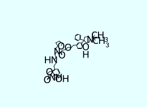 CC(C)N1CCC(c2ccccc2)(c2cc(CCOCCC(=O)N(CCNCCc3ccc(O)c4c3OCC(=O)N4)CC3CCCO3)ccc2O)CC1